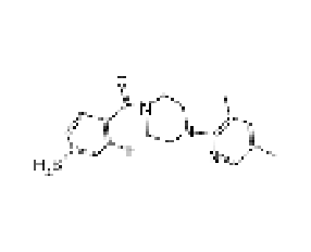 Bc1ccc(C(=O)N2CCN(c3ncc(C)cc3C)CC2)c(F)c1